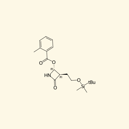 Cc1ccccc1C(=O)O[C@H]1NC(=O)[C@@H]1CCO[Si](C)(C)C(C)(C)C